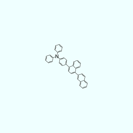 c1ccc(N(c2ccccc2)c2ccc(-c3ccc(-c4ccc5ccccc5c4)c4ccccc34)cc2)cc1